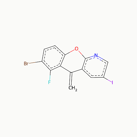 C=C1c2cc(I)cnc2Oc2ccc(Br)c(F)c21